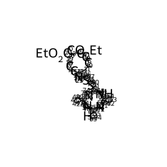 CCOC(=O)C1(C(=O)OCC)C2CCCCCCCCCC3C(CCCCCC21)CN(C)C3c1ccc(-c2ccc(-c3c4nc(c(-c5ccccc5)c5ccc([nH]5)c(-c5ccccc5)c5nc(c(-c6ccccc6)c6ccc3[nH]6)C=C5)C=C4)s2)s1